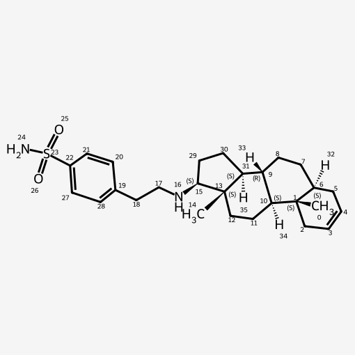 C[C@]12CC=CC[C@@H]1CC[C@@H]1[C@@H]2CC[C@]2(C)[C@@H](NCCc3ccc(S(N)(=O)=O)cc3)CC[C@@H]12